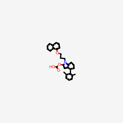 Cc1cccc(C)c1-c1cccc2c1cc(OC(=O)O)n2CCCOc1cccc2ccccc12